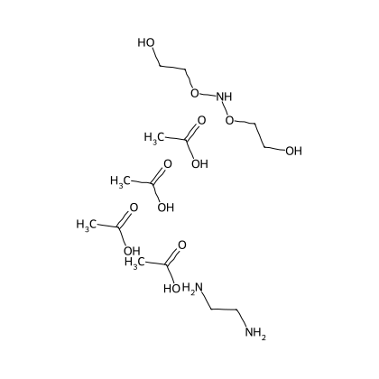 CC(=O)O.CC(=O)O.CC(=O)O.CC(=O)O.NCCN.OCCONOCCO